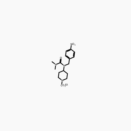 CCOC(=O)N1CCC(N(Cc2ccc([N+](=O)[O-])cc2)C(=O)N(C)C)CC1